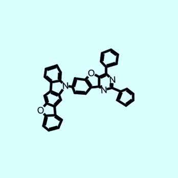 c1ccc(-c2nc(-c3ccccc3)c3oc4cc(-n5c6ccccc6c6cc7oc8ccccc8c7cc65)ccc4c3n2)cc1